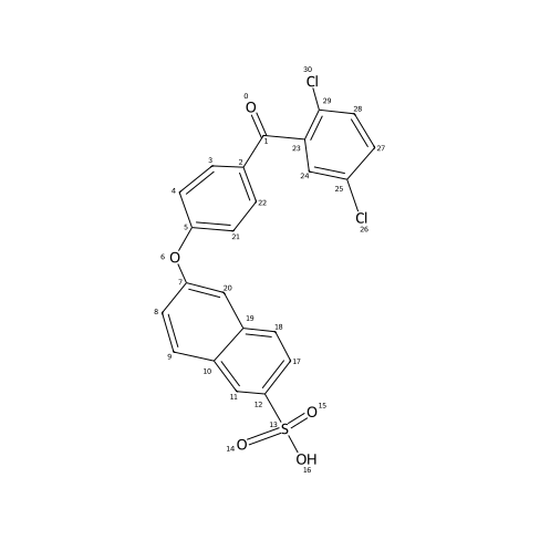 O=C(c1ccc(Oc2ccc3cc(S(=O)(=O)O)ccc3c2)cc1)c1cc(Cl)ccc1Cl